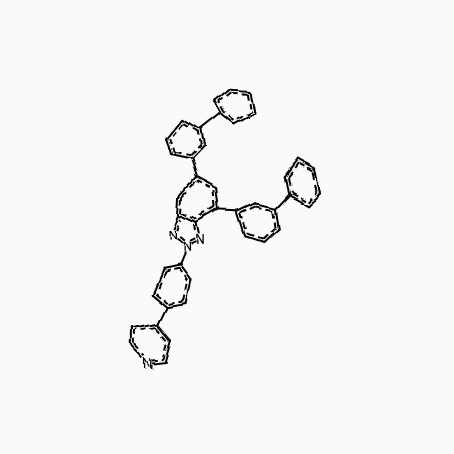 c1ccc(-c2cccc(-c3cc(-c4cccc(-c5ccccc5)c4)c4nn(-c5ccc(-c6ccncc6)cc5)nc4c3)c2)cc1